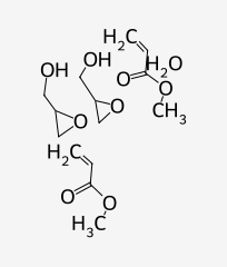 C=CC(=O)OC.C=CC(=O)OC.O.OCC1CO1.OCC1CO1